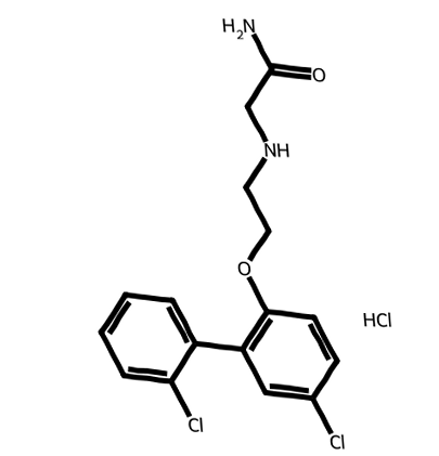 Cl.NC(=O)CNCCOc1ccc(Cl)cc1-c1ccccc1Cl